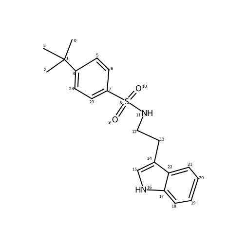 CC(C)(C)c1ccc(S(=O)(=O)NCCc2c[nH]c3ccccc23)cc1